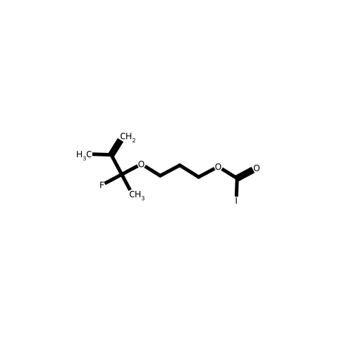 C=C(C)C(C)(F)OCCCOC(=O)I